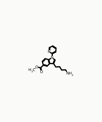 COC(=O)c1ccc2c(c1)c(CCCCN)cn2-c1ccccn1